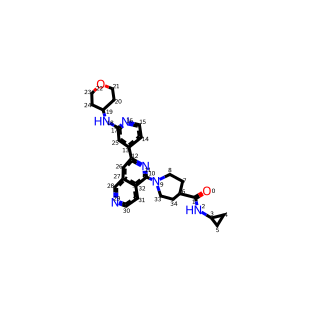 O=C(NC1CC1)C1CCN(c2nc(-c3ccnc(NC4CCOCC4)c3)cc3cnccc23)CC1